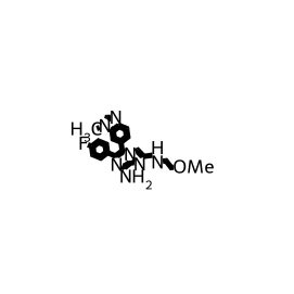 COCCNCc1cn2c(-c3ccc4ncn(C)c4c3)c(-c3ccc(F)cc3)nc(N)c2n1